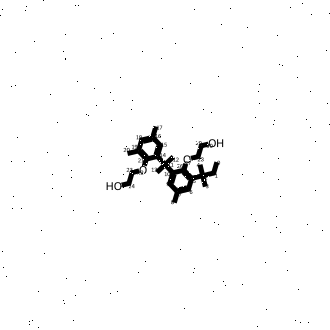 CCC(C)(C)c1cc(C)cc(C(C)(C)c2cc(C)cc(C)c2OCCO)c1OCCO